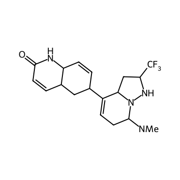 CNC1CC=C(C2C=CC3NC(=O)C=CC3C2)C2CC(C(F)(F)F)NN12